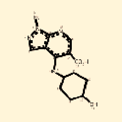 CCn1ncc2c(NC3CCC(O)CC3)c(C(=O)O)cnc21